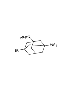 CCCCCC12CC3CC(N)(CC(CC)(C3)C1)C2